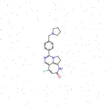 O=C1C=C(F)C2=CN=C(c3ccc(CN4CCCC4)cc3)N3CCC(=C23)N1